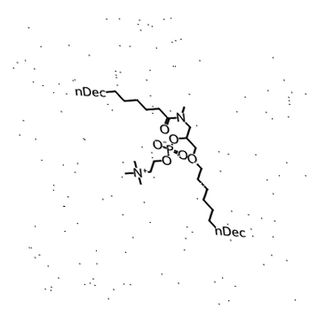 CCCCCCCCCCCCCCCCOCC(CN(C)C(=O)CCCCCCCCCCCCCCC)OP(=O)([O-])OCC[N+](C)(C)C